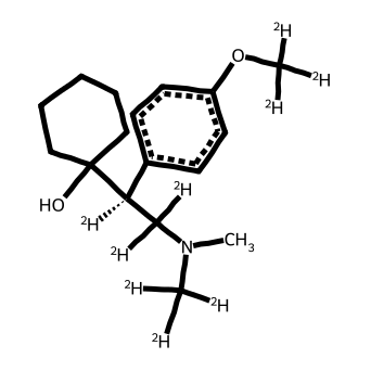 [2H]C([2H])([2H])Oc1ccc([C@]([2H])(C2(O)CCCCC2)C([2H])([2H])N(C)C([2H])([2H])[2H])cc1